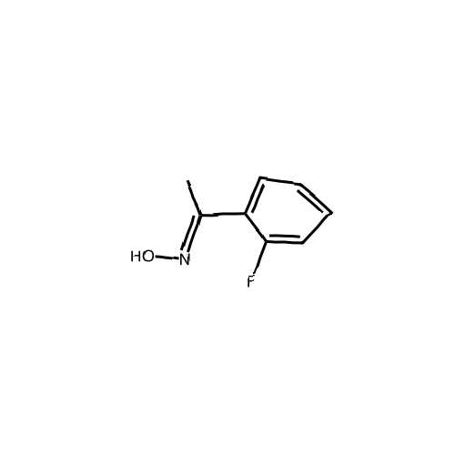 CC(=NO)c1ccccc1F